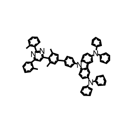 Cc1ccccc1-c1cc(-c2c(C)cc(-c3ccc(-n4c5ccc(N(c6ccccc6)c6ccccc6)cc5c5cc(N(c6ccccc6)c6ccccc6)ccc54)cc3)cc2C)nc(-c2ccccc2C)n1